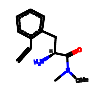 C=Cc1ccccc1C[C@H](N)C(=O)N(C)OC